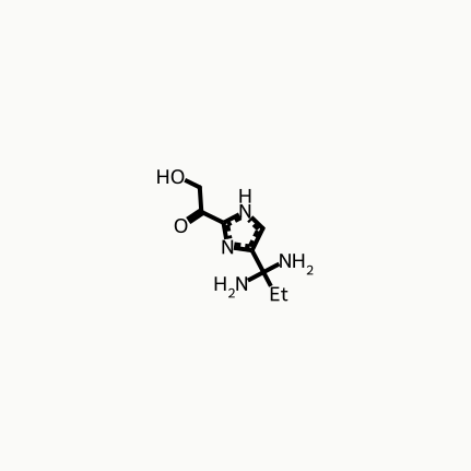 CCC(N)(N)c1c[nH]c(C(=O)CO)n1